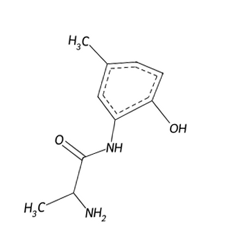 Cc1ccc(O)c(NC(=O)C(C)N)c1